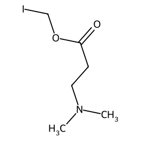 CN(C)CCC(=O)OCI